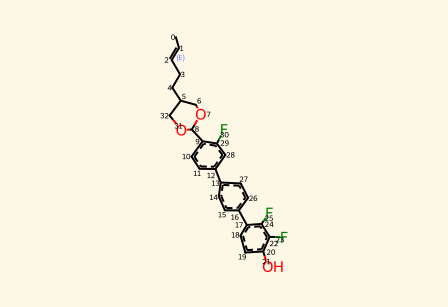 C/C=C/CCC1COC(c2ccc(-c3ccc(-c4ccc(O)c(F)c4F)cc3)cc2F)OC1